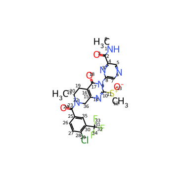 CNC(=O)c1cncc(-n2c([S+](C)[O-])nc3c(c2=O)C[C@@H](C)N(C(=O)c2ccc(Cl)c(C(F)(F)F)c2)C3)n1